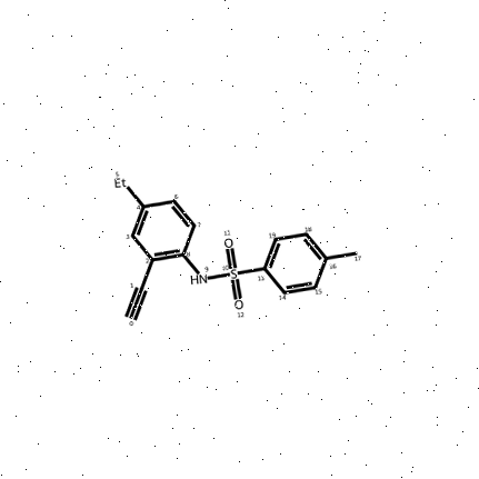 C#Cc1cc(CC)ccc1NS(=O)(=O)c1ccc(C)cc1